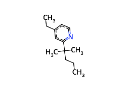 CCCC(C)(C)c1cc(CC)ccn1